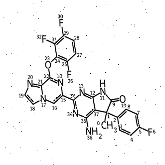 CC1(c2ccc(F)cc2)C(=O)Nc2nc(-c3cn4ccnc4c(Oc4c(F)ccc(F)c4F)n3)nc(N)c21